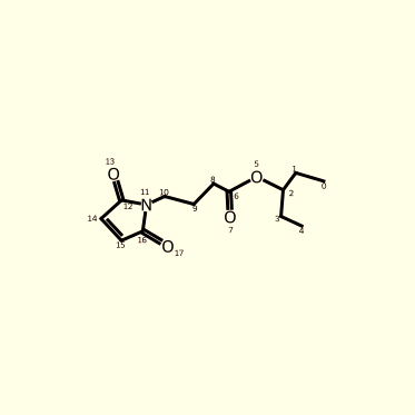 CCC(CC)OC(=O)CCCN1C(=O)C=CC1=O